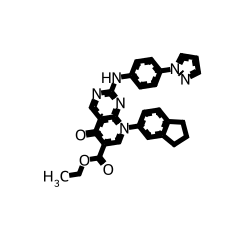 CCOC(=O)c1cn(-c2ccc3c(c2)CCC3)c2nc(Nc3ccc(-n4cccn4)cc3)ncc2c1=O